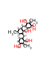 Cc1cc(Cc2ccc(O)c(C)c2O)c(O)c(Cc2ccc(O)c(C)c2O)c1